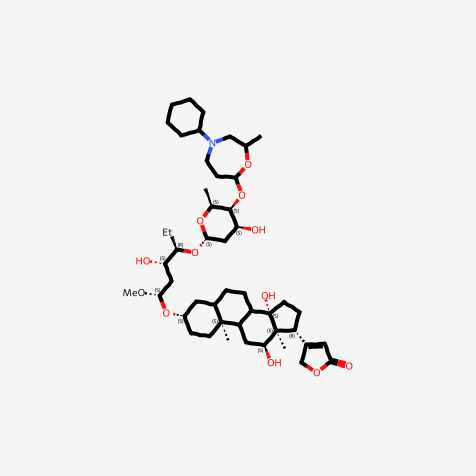 CC[C@@H](O[C@H]1C[C@H](O)[C@H](OC2CCN(C3CCCCC3)CC(C)O2)[C@H](C)O1)[C@@H](O)C[C@@H](OC)O[C@H]1CC[C@@]2(C)C(CCC3C2C[C@H](O)[C@]2(C)[C@@H](C4=CC(=O)OC4)CC[C@]32O)C1